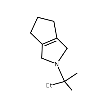 CCC(C)(C)N1CC2=C(CCC2)C1